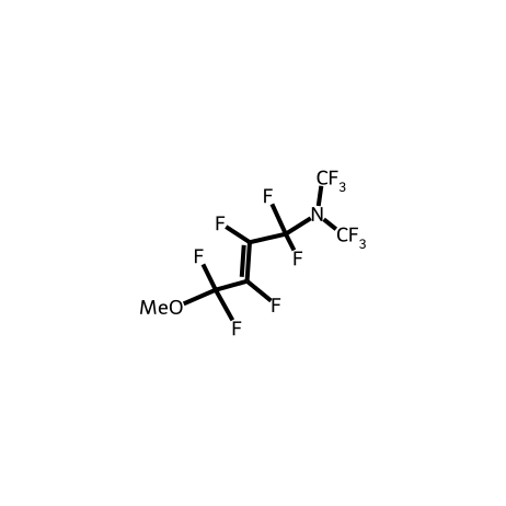 COC(F)(F)C(F)=C(F)C(F)(F)N(C(F)(F)F)C(F)(F)F